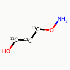 NO[13CH2][13CH2][13CH2]O